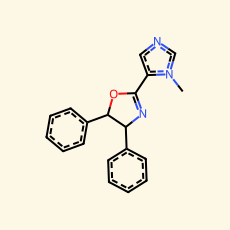 Cn1cncc1C1=NC(c2ccccc2)C(c2ccccc2)O1